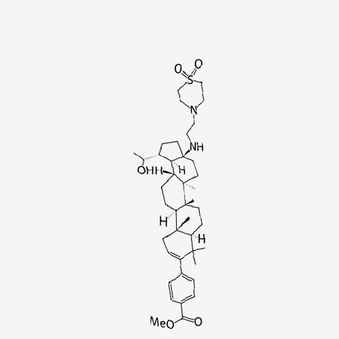 COC(=O)c1ccc(C2=CC[C@]3(C)[C@H]4CC[C@@H]5[C@H]6[C@H](C(C)O)CC[C@]6(NCCN6CCS(=O)(=O)CC6)CC[C@@]5(C)[C@]4(C)CC[C@H]3C2(C)C)cc1